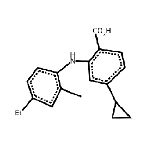 CCc1ccc(Nc2cc(C3CC3)ccc2C(=O)O)c(C)c1